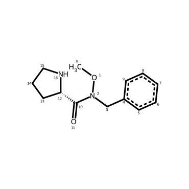 CON(Cc1ccccc1)C(=O)[C@@H]1CCCN1